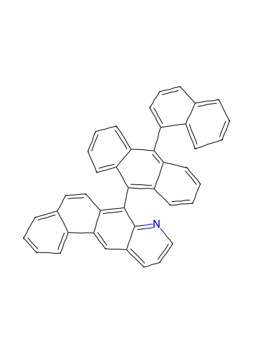 c1ccc2c(-c3c4ccccc4c(-c4c5ccc6ccccc6c5cc5cccnc45)c4ccccc34)cccc2c1